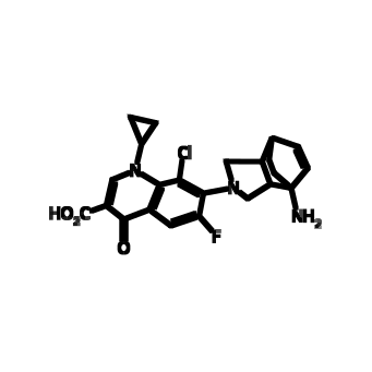 NC12C=CC(CC1)C1CN(c3c(F)cc4c(=O)c(C(=O)O)cn(C5CC5)c4c3Cl)CC12